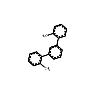 Cc1ccccc1-c1c[c]cc(-c2ccccc2C)c1